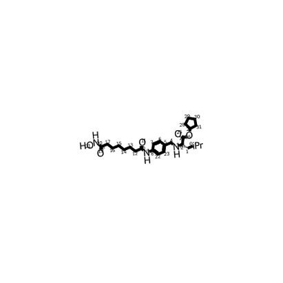 CC(C)C[C@H](NCc1ccc(NC(=O)CCCCCCC(=O)NO)cc1)C(=O)OC1CCCC1